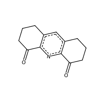 O=C1CCCc2cc3c(nc21)C(=O)CCC3